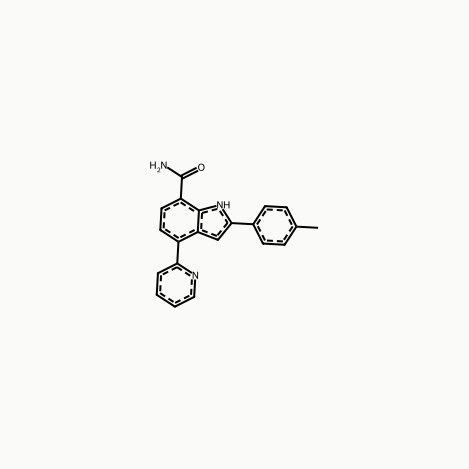 Cc1ccc(-c2cc3c(-c4ccccn4)ccc(C(N)=O)c3[nH]2)cc1